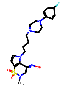 CN1CC(=NO)c2c(ccn2CCCCN2CCN(c3ccc(F)cc3)CC2)S1(=O)=O